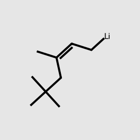 [Li][CH2]C=C(C)CC(C)(C)C